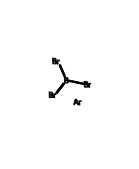 BrB(Br)Br.[Ar]